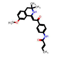 CC=CC(=O)Nc1ccc(C(=O)/C=C2\NC(C)(C)Cc3ccc(OC)cc32)cc1